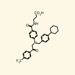 O=C(O)CCNC(=O)c1ccc(N(CC(=O)c2ccc(C(F)(F)F)cc2)Cc2ccc(C3CCCCC3)cc2)cc1